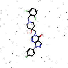 O=c1c2cnn(-c3ccc(F)cc3)c2ncn1CC1(O)CCN(Cc2c(F)cccc2F)CC1